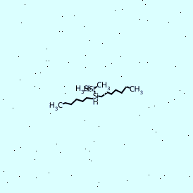 CCCCCCC[SiH](CCCCCCC)[SiH](C)[SiH3]